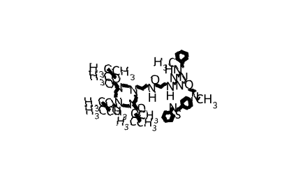 Cc1ccccc1CNc1nc(NCCC(=O)NCCCN2CCN(C(=O)OC(C)(C)C)CCN(C(=O)OC(C)(C)C)CCN(C(=O)OC(C)(C)C)CC2)nc(OCCN(C)c2ccc(-c3nc4ccccc4s3)cc2)n1